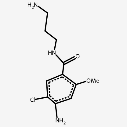 COc1cc(N)c(Cl)cc1C(=O)NCCCN